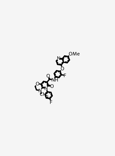 COc1ccc2c(Oc3ccc(NC(=O)c4cc5c(n(-c6ccc(F)cc6)c4=O)N(C)CCO5)cc3F)ccnc2c1